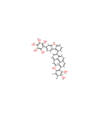 Cc1c(C)c(O)c(-c2ccc3ccc4c(-c5cccc6oc7cc(-c8c(O)c(O)c(O)c(O)c8O)ccc7c56)ccc5ccc2c3c54)c(O)c1O